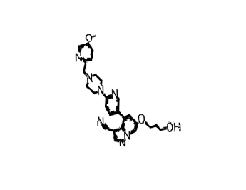 COc1ccc(CN2CCN(c3ccc(-c4cc(OCCCO)cn5ncc(C#N)c45)cn3)CC2)nc1